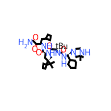 CC1(C)CN(C[C@@H](NC(=O)N[C@H](C(=O)N2C[C@]3(C[C@H]2C(=O)NC(CC2CCC2)C(=O)C(N)=O)C(C)(C)C32CCC2)C(C)(C)C)C2CCCCC2)CCN1